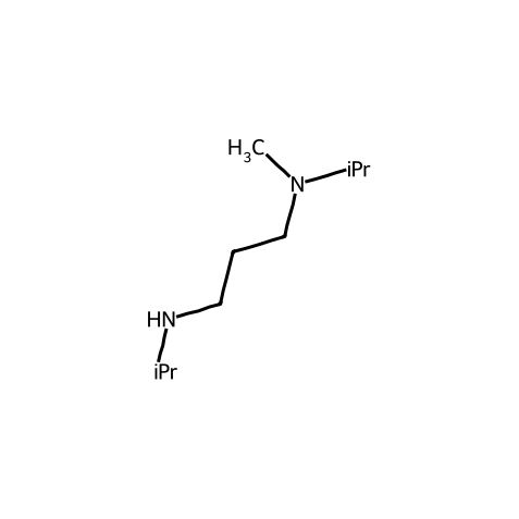 CC(C)NCCCN(C)C(C)C